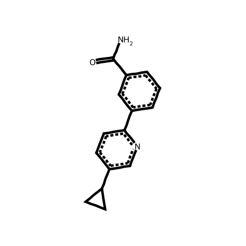 NC(=O)c1cccc(-c2ccc(C3CC3)cn2)c1